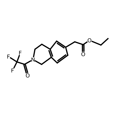 CCOC(=O)Cc1ccc2c(c1)CCN(C(=O)C(F)(F)F)C2